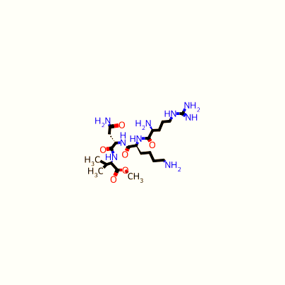 COC(=O)[C@@H](NC(=O)[C@H](CC(N)=O)NC(=O)[C@H](CCCCN)NC(=O)[C@@H](N)CCCNC(=N)N)C(C)C